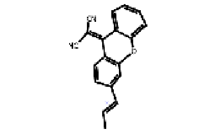 C/C=C/c1ccc2c(c1)Oc1ccccc1C2=C(C#N)C#N